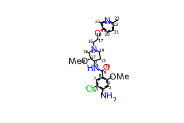 COc1cc(N)c(Cl)cc1C(=O)N[C@@H]1CCN(CCOc2ccc(C)nc2)C[C@@H]1OC